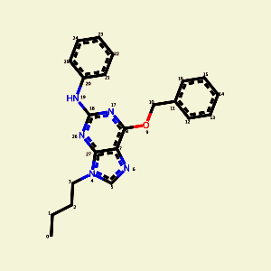 CCCCn1cnc2c(OCc3ccccc3)nc(Nc3ccccc3)nc21